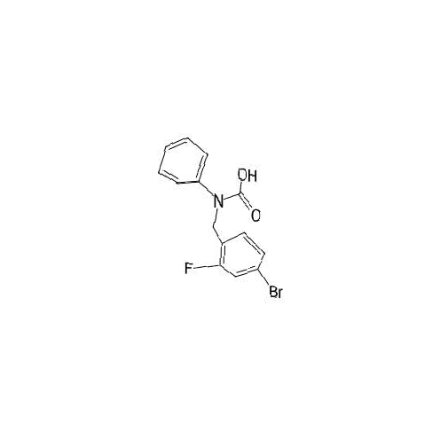 O=C(O)N(Cc1ccc(Br)cc1F)c1ccccc1